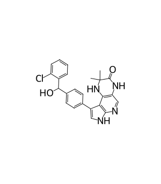 CC1(C)Nc2c(cnc3[nH]cc(-c4ccc(C(O)c5ccccc5Cl)cc4)c23)NC1=O